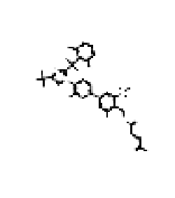 CC(=O)/C=C/C(=O)OCc1c(F)cc(-c2ccc(-n3cc(C(C)(C)O)nc3C(C)(C)c3c(Cl)cccc3Cl)c(F)c2)cc1S(C)(=O)=O